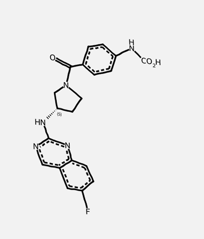 O=C(O)Nc1ccc(C(=O)N2CC[C@H](Nc3ncc4cc(F)ccc4n3)C2)cc1